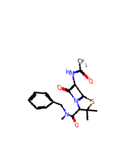 CN(Cc1ccccc1)C(=O)C1N2C(=O)C(NC(=O)C(F)(F)F)C2SC1(C)C